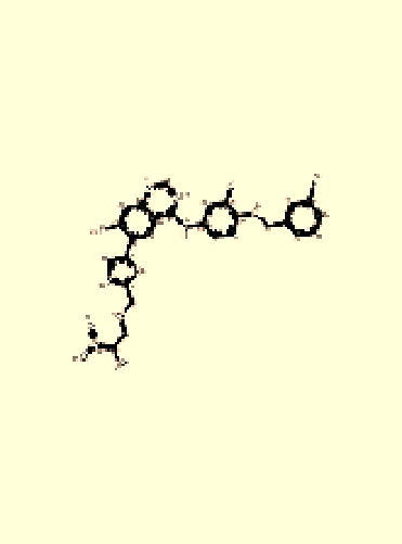 CC(C)C(COCc1nc(-c2cc3c(Nc4ccc(OCc5cccc(F)c5)c(Cl)c4)ncnc3cc2F)cs1)=S(=O)=O